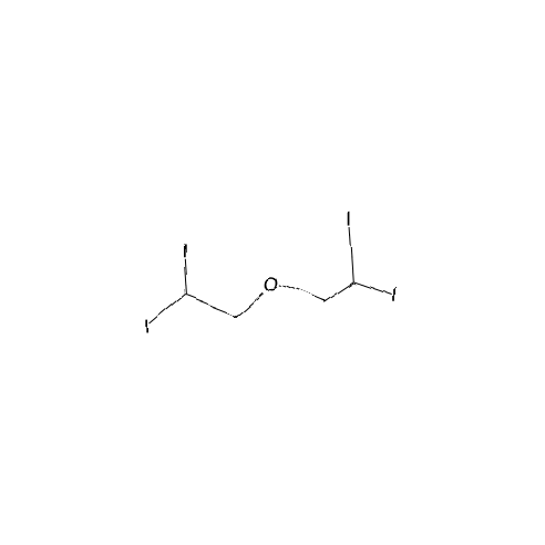 IC(I)COCC(I)I